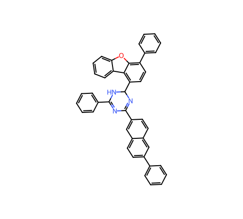 c1ccc(C2=NC(c3ccc4cc(-c5ccccc5)ccc4c3)=NC(c3ccc(-c4ccccc4)c4oc5ccccc5c34)N2)cc1